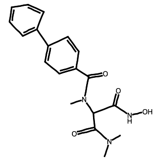 CN(C)C(=O)C(C(=O)NO)N(C)C(=O)c1ccc(-c2ccccc2)cc1